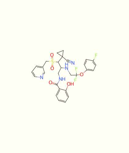 N#CC1(C(C(CNC(=O)c2ccccc2O)NCC(F)(F)Oc2ccc(F)cc2)S(=O)(=O)Cc2cccnc2)CC1